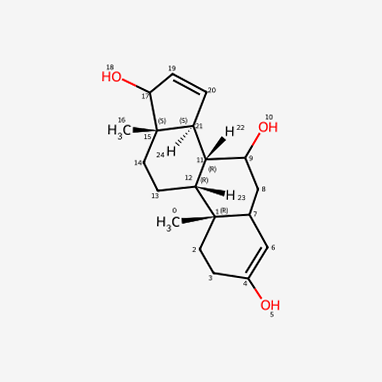 C[C@]12CCC(O)=CC1CC(O)[C@@H]1[C@H]2CC[C@]2(C)C(O)C=C[C@@H]12